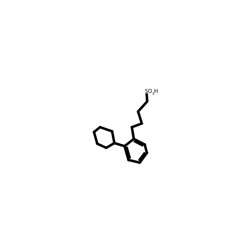 O=S(=O)(O)CCCCc1ccccc1C1CCCCC1